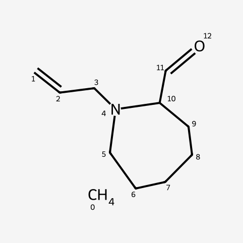 C.C=CCN1CCCCCC1C=O